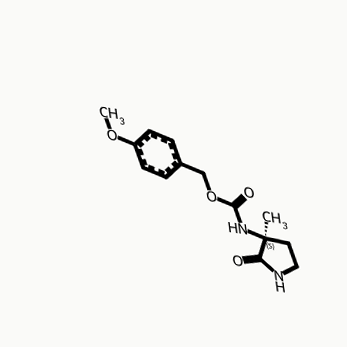 COc1ccc(COC(=O)N[C@@]2(C)CCNC2=O)cc1